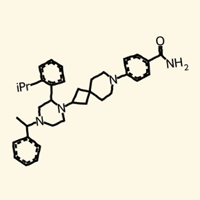 CC(C)c1ccccc1C1CN(C(C)c2ccccc2)CCN1C1CC2(CCN(c3ccc(C(N)=O)cc3)CC2)C1